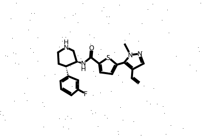 C=Cc1cnn(C)c1-c1ccc(C(=O)N[C@@H]2CNCC[C@H]2c2cccc(F)c2)s1